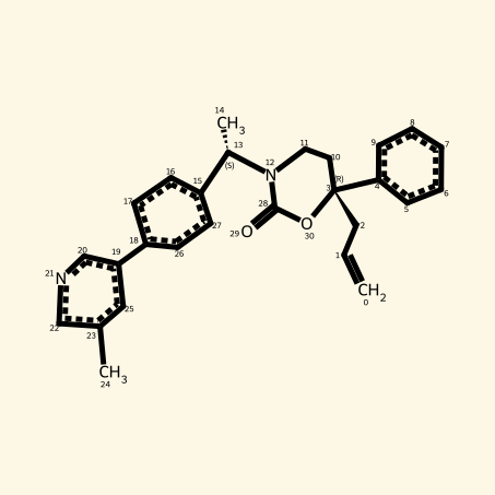 C=CC[C@]1(c2ccccc2)CCN([C@@H](C)c2ccc(-c3cncc(C)c3)cc2)C(=O)O1